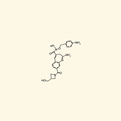 CCCN(OCc1ccc(N)cc1)C(=O)C1=Cc2ccc(C(=O)N3CC(CO)C3)cc2N=C(N)C1